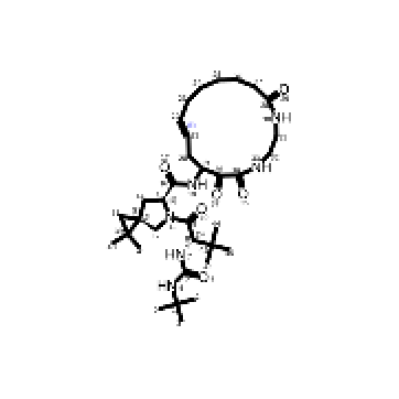 CC(C)(C)NC(=O)N[C@H](C(=O)N1C[C@]2(C[C@H]1C(=O)NC1C/C=C/CCCCCC(=O)NCCNC(=O)C1=O)CC2(C)C)C(C)(C)C